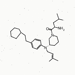 CC(C)=CCN(c1ccc(CCC2CCCCC2)cc1)[C@H]1CCCN(C(=O)C(N)CC(C)C)C1